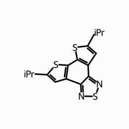 CC(C)c1cc2c3nsnc3c3cc(C(C)C)sc3c2s1